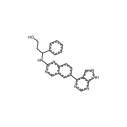 OCCC(Nc1ncc2cc(-c3ncnc4[nH]ncc34)ccc2n1)c1ccccc1